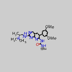 COc1cc(OC)cc(-c2cc3cnc(NCC(C)N(C)C)nc3nc2NC(=O)NC(C)(C)C)c1